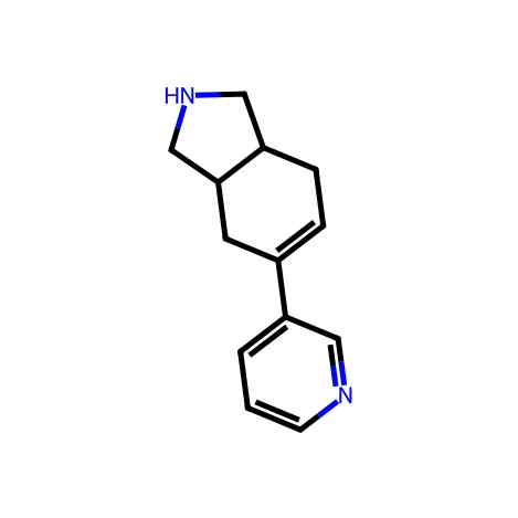 C1=C(c2cccnc2)CC2CNCC2C1